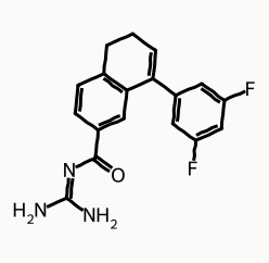 NC(N)=NC(=O)c1ccc2c(c1)C(c1cc(F)cc(F)c1)=CCC2